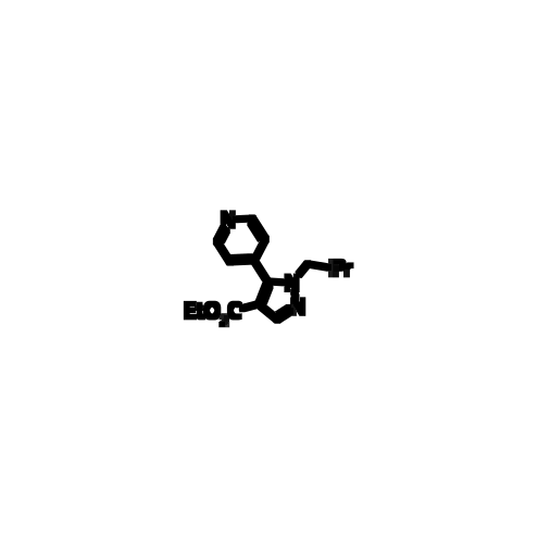 CCOC(=O)c1cnn(CC(C)C)c1-c1ccncc1